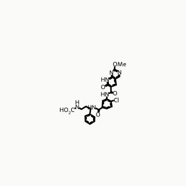 COc1ncc2cc(C(=O)Nc3cc(C(=O)NC(CCNC(=O)O)c4ccccc4)ccc3Cl)c(=O)[nH]c2n1